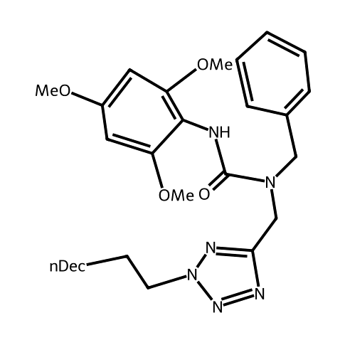 CCCCCCCCCCCCn1nnc(CN(Cc2ccccc2)C(=O)Nc2c(OC)cc(OC)cc2OC)n1